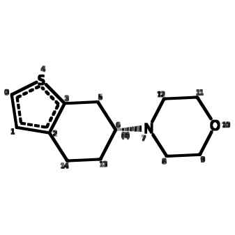 c1cc2c(s1)C[C@H](N1CCOCC1)CC2